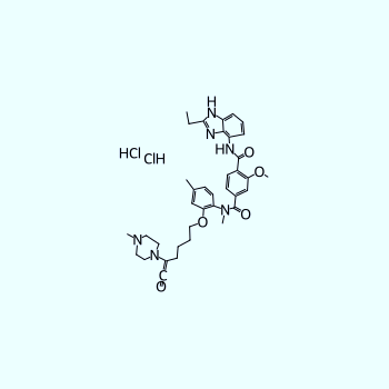 CCc1nc2c(NC(=O)c3ccc(C(=O)N(C)c4ccc(C)cc4OCCCCC(=C=O)N4CCN(C)CC4)cc3OC)cccc2[nH]1.Cl.Cl